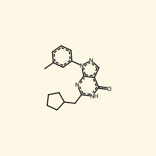 Cc1cccc(-n2ncc3c(=O)[nH]c(CC4CCCC4)nc32)c1